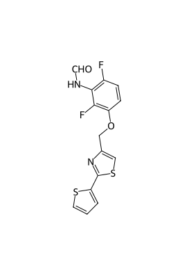 O=CNc1c(F)ccc(OCc2csc(-c3cccs3)n2)c1F